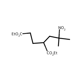 CCOC(=O)CCC(CC(C)(C)[N+](=O)[O-])C(=O)OCC